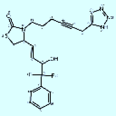 O=C1SCC(C=CC(O)C(F)(F)c2ccccc2)N1CCCC#CCc1nnn[nH]1